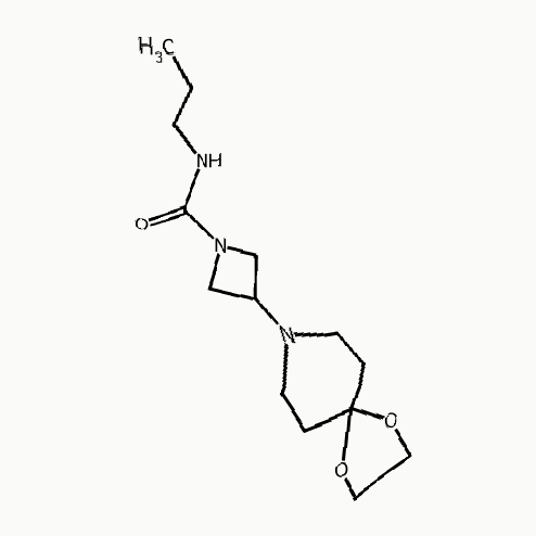 CCCNC(=O)N1CC(N2CCC3(CC2)OCCO3)C1